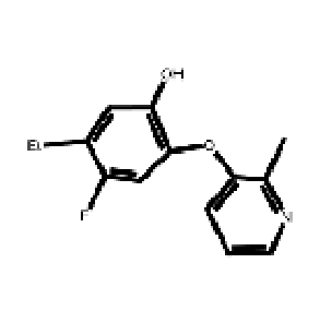 CCc1cc(O)c(Oc2cccnc2C)cc1F